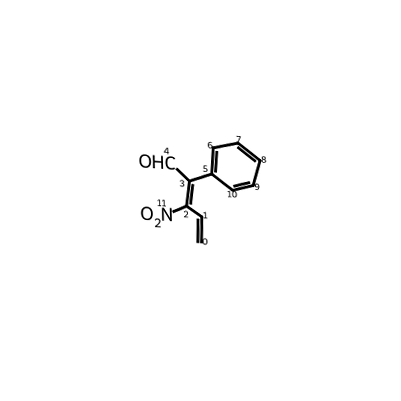 C=CC(=C(C=O)c1ccccc1)[N+](=O)[O-]